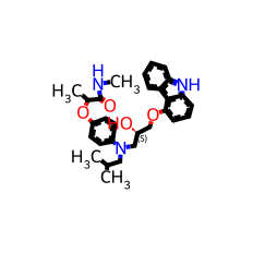 CNC(=O)C(C)Oc1ccc(N(CC(C)C)C[C@H](O)COc2cccc3[nH]c4ccccc4c23)cc1